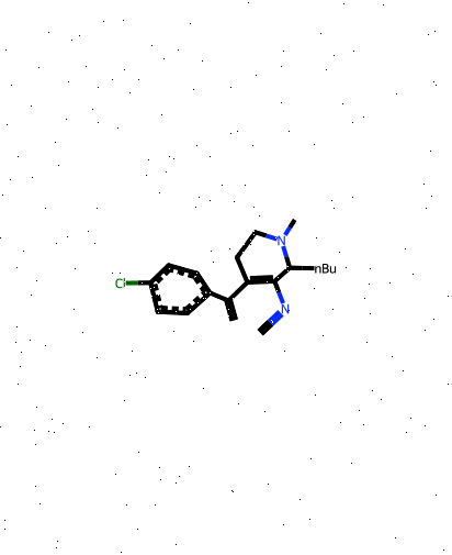 C=NC1=C(C(=C)c2ccc(Cl)cc2)CCN(C)C1CCCC